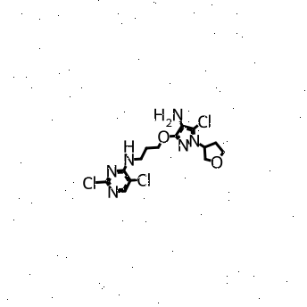 Nc1c(OCCCNc2nc(Cl)ncc2Cl)nn(C2CCOC2)c1Cl